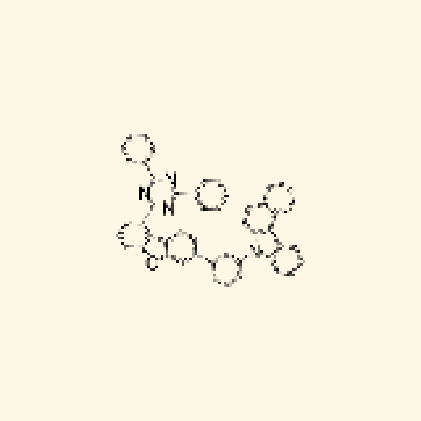 c1ccc(-c2nc(-c3ccccc3)nc(-c3cccc4oc5cc(-c6cccc(-n7c8ccccc8c8c9ccccc9ccc87)c6)ccc5c34)n2)cc1